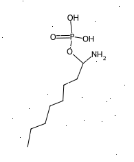 CCCCCCCC(N)OP(=O)(O)O